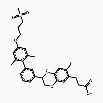 Cc1cc(OCCCS(C)(=O)=O)cc(C)c1-c1cccc(C2COc3cc(CCC(=O)O)c(F)cc3N2)c1